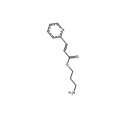 NCCCOC(=O)/C=C/c1ccccn1